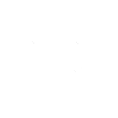 CN(C)CCCC1CN(C)C(=S)c2cccnc2O1